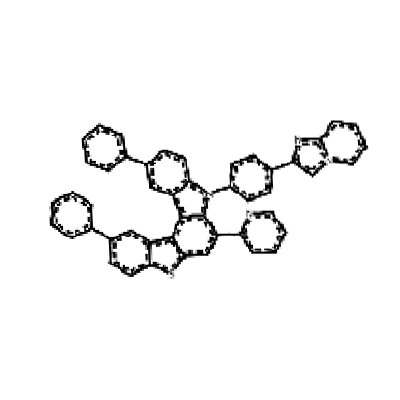 c1ccc(-c2ccc3sc4cc(-c5ccccn5)c5c(c6cc(-c7ccccc7)ccc6n5-c5ccc(-c6cn7ccccc7n6)cc5)c4c3c2)cc1